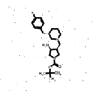 CC(C)(C)OC(=O)N1C[C@H](CN2CCC[C@@H](Cc3ccc(F)cc3)C2)[C@H](N)C1